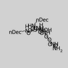 CCCCCCCCCCCCCCNC(=O)OC[C@H](CSC[C@H](N)C(=O)N[C@@H](CO)C(=O)NCCOCCOCCC(=O)NCC(N)=O)OC(=O)NCCCCCCCCCCCCCC